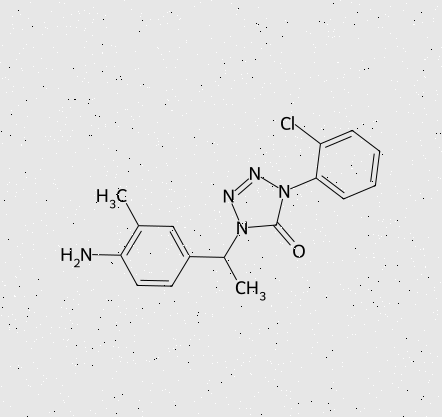 Cc1cc(C(C)n2nnn(-c3ccccc3Cl)c2=O)ccc1N